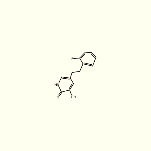 O=c1[nH]cc(CCc2ccccc2F)cc1O